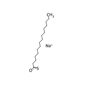 CCCCCCCCCCCCCCCC([O-])=S.[Na+]